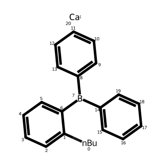 CCCCc1ccccc1B(c1ccccc1)c1ccccc1.[Ca]